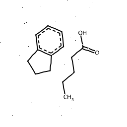 CCCCC(=O)O.c1ccc2c(c1)CCC2